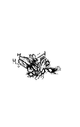 Cc1c(-c2cccc(N(c3ccccc3)c3ccccn3)c2)nc(-c2cc(C(C)(C)C)cc(C(C)(C)C)c2O)n1-c1ccccc1